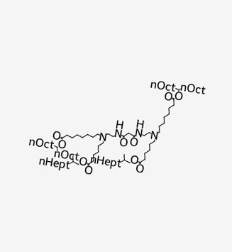 CCCCCCCCC(CCCCCCCC)OC(=O)CCCCCCCN(CCCCCC(=O)OCC(C)CCCCCCC)CCNC(=O)CC(=O)NCCN(CCCCCCCC(=O)OC(CCCCCCCC)CCCCCCCC)CCCCCC(=O)OCC(C)CCCCCCC